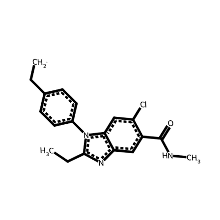 [CH2]Cc1ccc(-n2c(CC)nc3cc(C(=O)NC)c(Cl)cc32)cc1